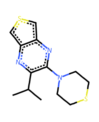 CC(C)c1nc2cscc2nc1N1CCSCC1